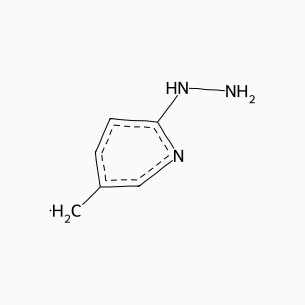 [CH2]c1ccc(NN)nc1